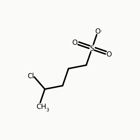 CC(Cl)CCCS([O])(=O)=O